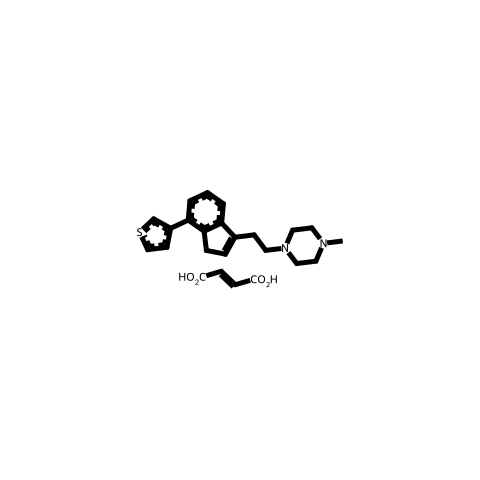 CN1CCN(CCC2=CCc3c2cccc3-c2ccsc2)CC1.O=C(O)C=CC(=O)O